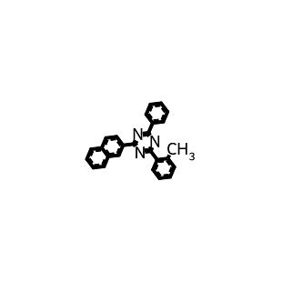 Cc1ccccc1-c1nc(-c2ccccc2)nc(-c2ccc3ccccc3c2)n1